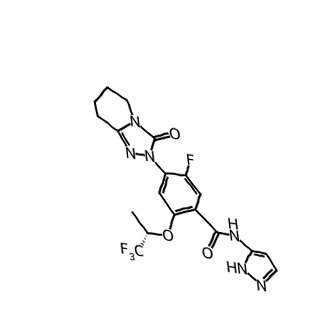 C[C@H](Oc1cc(-n2nc3n(c2=O)CCCC3)c(F)cc1C(=O)Nc1ccn[nH]1)C(F)(F)F